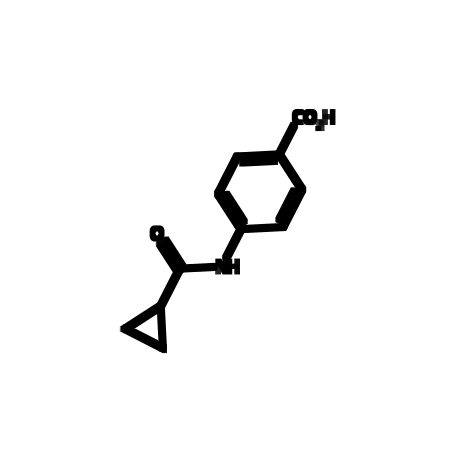 O=C(O)c1ccc(NC(=O)C2CC2)cc1